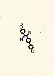 CCOc1ccc(/C(C#N)=C(\C#N)c2ccc(-c3ccc(OC)cc3)cc2)cc1